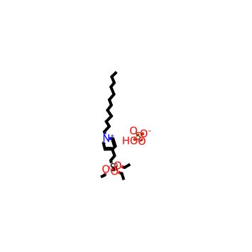 CCCCCCCCCCCC[n+]1ccc(CC[Si](OCC)(OCC)OCC)cc1.O=S(=O)([O-])O